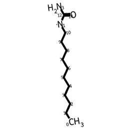 CCCCCCCCCCC[N]C(N)=O